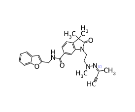 C#C/C(C)=N\N(C)CCN1C(=O)C(C)(C)c2ccc(C(=O)NCc3cc4ccccc4o3)cc21